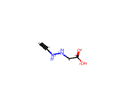 C#CNNCC(=O)O